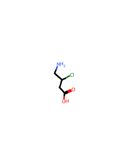 NCC(Cl)CC(=O)O